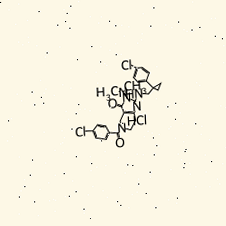 CN(C)n1c(NCC2(c3ccc(Cl)cc3)CC2)nc2c(c1=O)CN(C(=O)c1ccc(Cl)cc1)CC2.Cl